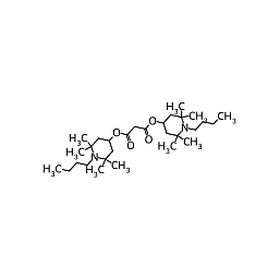 CCCCN1C(C)(C)CC(OC(=O)CC(=O)OC2CC(C)(C)N(CCCC)C(C)(C)C2)CC1(C)C